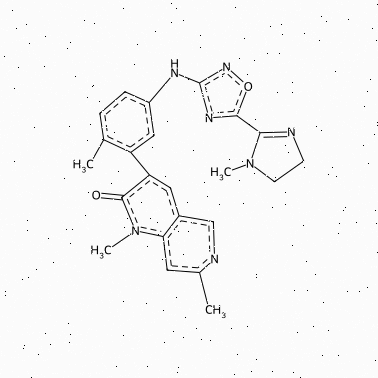 Cc1cc2c(cn1)cc(-c1cc(Nc3noc(C4=NCCN4C)n3)ccc1C)c(=O)n2C